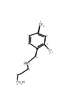 O=C(O)CCNCc1ccc(C(F)(F)F)cc1C(F)(F)F